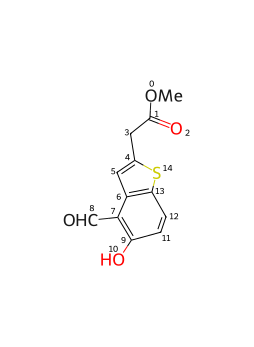 COC(=O)Cc1cc2c(C=O)c(O)ccc2s1